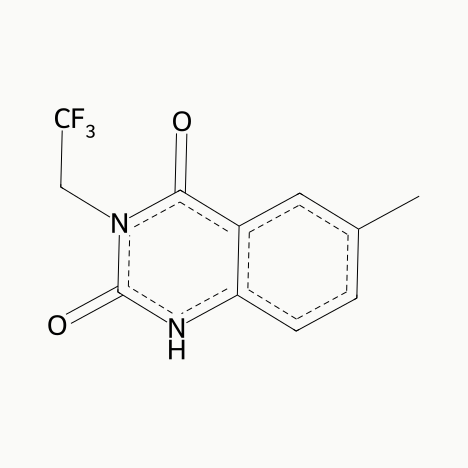 Cc1ccc2[nH]c(=O)n(CC(F)(F)F)c(=O)c2c1